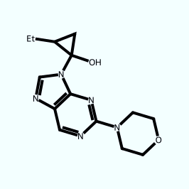 CCC1CC1(O)n1cnc2cnc(N3CCOCC3)nc21